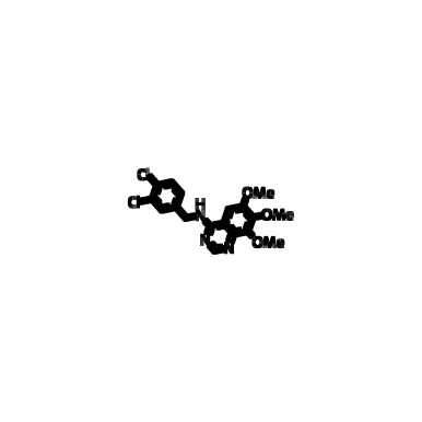 COc1cc2c(NCc3ccc(Cl)c(Cl)c3)ncnc2c(OC)c1OC